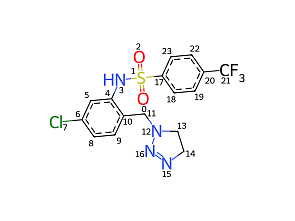 O=S(=O)(Nc1cc(Cl)ccc1CN1CCN=N1)c1ccc(C(F)(F)F)cc1